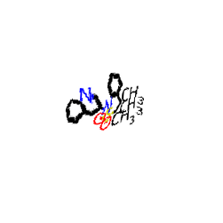 CC1C(C)(C)c2ccccc2N(c2cnc3ccccc3c2)S1(=O)=O